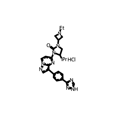 CCN1CC(N2CC(C(C)C)N(c3ccn4ncc(-c5ccc(-c6nc[nH]n6)cc5)c4n3)C2=O)C1.Cl